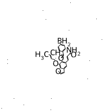 Bc1ccc(COc2c(/C=C/C(N)=O)cc3ccoc3c2OCC=C(C)C)cc1